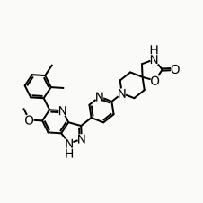 COc1cc2[nH]nc(-c3ccc(N4CCC5(CC4)CNC(=O)O5)nc3)c2nc1-c1cccc(C)c1C